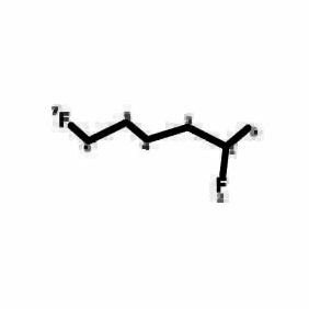 CC(F)CCC[CH]F